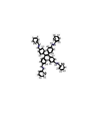 C(=C\c1ccccn1)/c1ccc(C(=C(c2ccc(/C=C/c3ccccn3)cc2)c2ccc(/C=C/c3ccccn3)cc2)c2ccc(/C=C/c3ccccn3)cc2)cc1